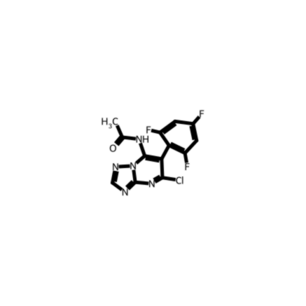 CC(=O)Nc1c(-c2c(F)cc(F)cc2F)c(Cl)nc2ncnn12